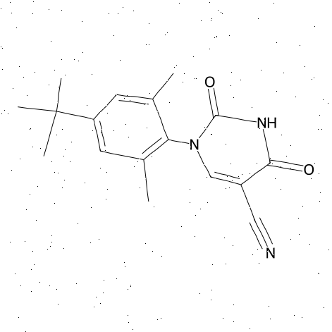 Cc1cc(C(C)(C)C)cc(C)c1-n1cc(C#N)c(=O)[nH]c1=O